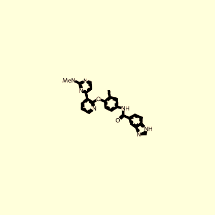 CNc1nccc(-c2cccnc2Oc2ccc(NC(=O)c3ccc4[nH]cnc4c3)cc2C)n1